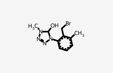 Cc1cccc(N2N=NN(C)C2O)c1CBr